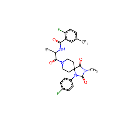 CC(C)C(NC(=O)c1cc(C(F)(F)F)ccc1F)C(=O)N1CCC2(CC1)C(=O)N(C)C(=O)N2c1ccc(F)cc1